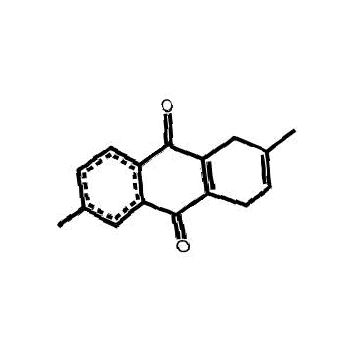 CC1=CCC2=C(C1)C(=O)c1ccc(C)cc1C2=O